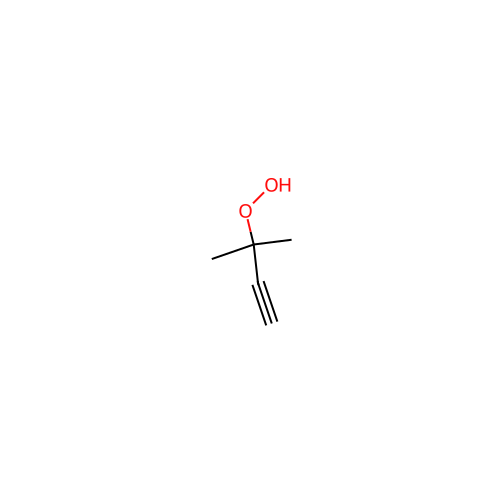 C#CC(C)(C)OO